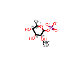 C[C@H]1OC(OP(=O)([O-])[O-])[C@H](O)[C@@H](O)[C@@H]1O.[Na+].[Na+]